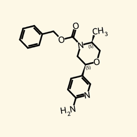 C[C@H]1CO[C@@H](c2ccc(N)nc2)CN1C(=O)OCc1ccccc1